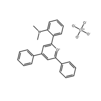 CN(C)c1ccccc1-c1cc(-c2ccccc2)cc(-c2ccccc2)[o+]1.[O-][Cl+3]([O-])([O-])[O-]